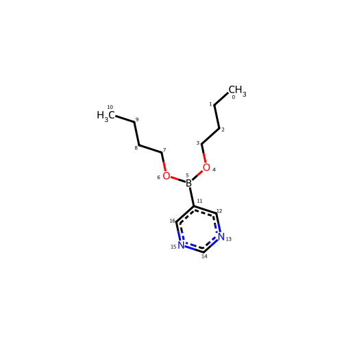 CCCCOB(OCCCC)c1cncnc1